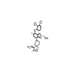 Cc1cc(N2CCC3(CC2)CO[C@@H](C)[C@H]3N)n2nc(CO)nc2c1Sc1cccc(Cl)c1Cl